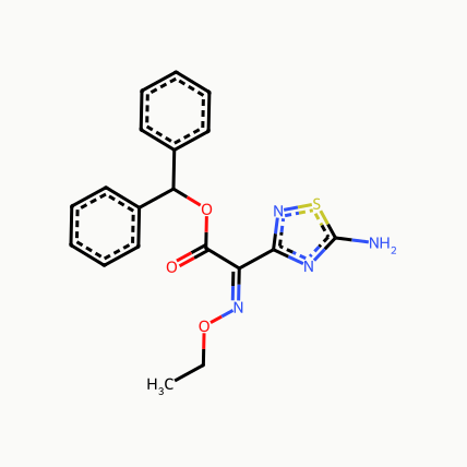 CCO/N=C(\C(=O)OC(c1ccccc1)c1ccccc1)c1nsc(N)n1